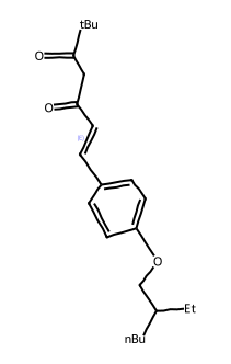 CCCCC(CC)COc1ccc(/C=C/C(=O)CC(=O)C(C)(C)C)cc1